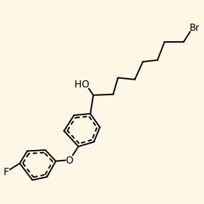 OC(CCCCCCCBr)c1ccc(Oc2ccc(F)cc2)cc1